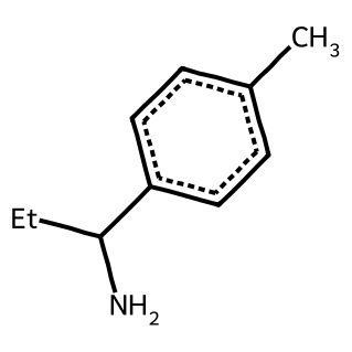 CCC(N)c1ccc(C)cc1